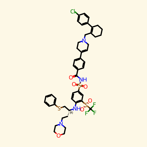 O=C(NS(=O)(=O)c1ccc(N[C@H](CCN2CCOCC2)CSc2ccccc2)c(S(=O)(=O)C(F)(F)F)c1)c1ccc(C2=CCN(CC3=C(c4ccc(Cl)cc4)CCCC3)CC2)cc1